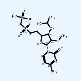 CO[C@@H]1[C@H](OC(C)C)C(CCS(=O)(=O)CP(=O)(O)O)O[C@H]1n1ccc(N)nc1=O